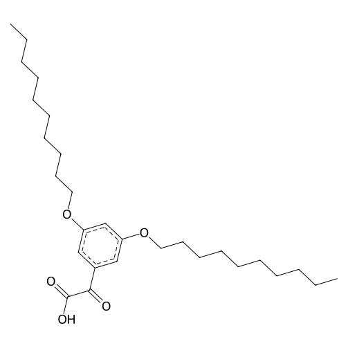 CCCCCCCCCCOc1cc(OCCCCCCCCCC)cc(C(=O)C(=O)O)c1